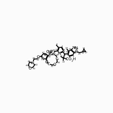 Cc1ccc(C(c2ccc3c(nnn3CC3CC3)c2C)C(C)(C)C(=O)O)nc1CN1CCCOCCOc2nc(OCCN3CCOCC3)ccc2S1(=O)=O